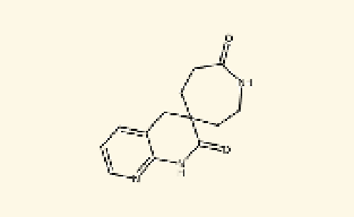 O=C1CCC2(CCN1)Cc1cccnc1NC2=O